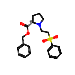 O=C(OCc1ccccc1)[C@@H]1CCCN1CCS(=O)(=O)c1ccccc1